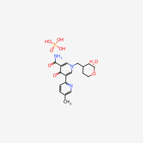 Cc1ccc(-c2cn(CC3CCOCC3)cc(C(N)=O)c2=O)nc1.O.O=P(O)(O)O